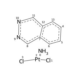 N.[Cl][Pt][Cl].c1ccc2cnncc2c1